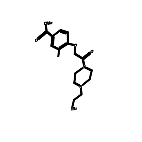 COC(=O)c1ccc(OCC(=O)N2CCN(CCC(C)(C)C)CC2)c(C)c1